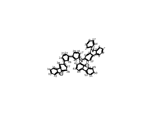 c1ccc(-n2c3ccccc3c3ccc(N(c4cccc(-c5cccc(-c6ccc7oc8ccccc8c7c6)c5)c4)c4cccc5c4oc4ccccc45)cc32)cc1